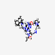 C=CC(=O)N1CCN(c2nc(OC[C@@H]3CCCN3C(C)C)nc3c2N(C)CCN(c2cccc4cccc(C)c24)C3)C[C@@H]1CC#N